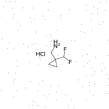 Cl.NCC1(C(F)F)CC1